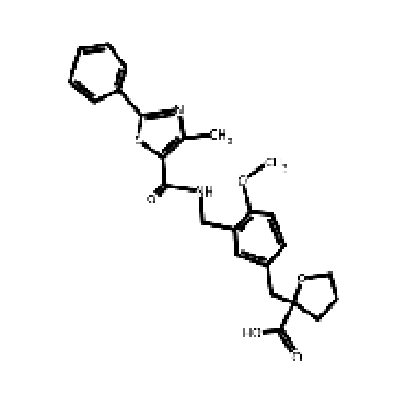 COc1ccc(CC2(C(=O)O)CCCO2)cc1CNC(=O)c1sc(-c2ccccc2)nc1C